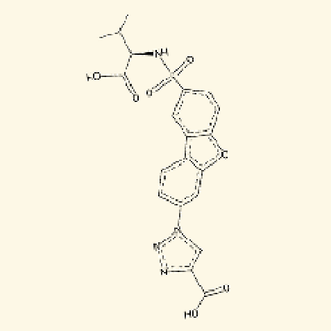 CC(C)[C@@H](NS(=O)(=O)c1ccc2oc3cc(-n4cc(C(=O)O)nn4)ccc3c2c1)C(=O)O